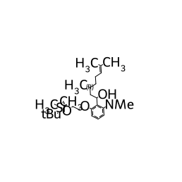 CNc1cccc(OCCO[Si](C)(C)C(C)(C)C)c1C(O)C[C@H](C)CCC=C(C)C